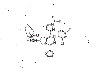 O=S(=O)(NC1CC2=C(c3ccn(C(F)F)n3)[C@H](c3ccc(F)cc3Cl)N=C(c3nccs3)N2C1)C1C2CCC1CC(O)C2